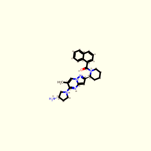 Cc1cn2nc([C@@H]3CCCCN3C(=O)c3cccc4ccccc34)cc2nc1N1CC[C@H](N)C1